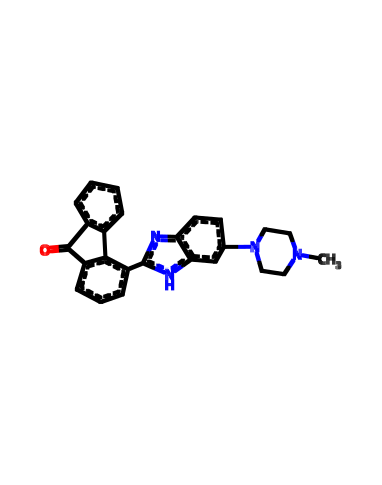 CN1CCN(c2ccc3nc(-c4cccc5c4-c4ccccc4C5=O)[nH]c3c2)CC1